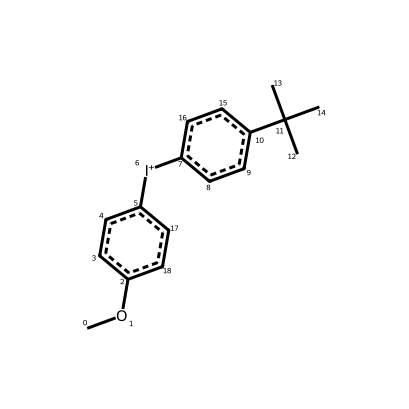 COc1ccc([I+]c2ccc(C(C)(C)C)cc2)cc1